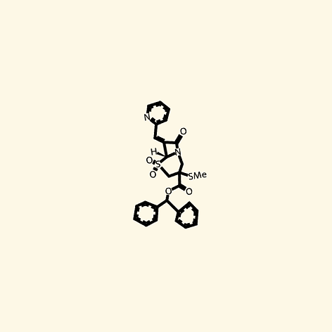 CSC1(C(=O)OC(c2ccccc2)c2ccccc2)CN2C(=O)C(=Cc3ccccn3)[C@H]2S(=O)(=O)C1